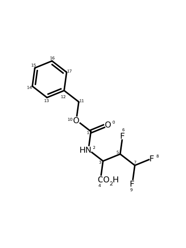 O=C(NC(C(=O)O)C(F)C(F)F)OCc1ccccc1